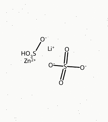 O=S(=O)([O-])O.O=S(=O)([O-])[O-].[Li+].[Zn+2]